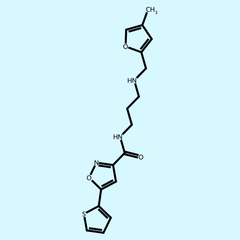 Cc1coc(CNCCCNC(=O)c2cc(-c3cccs3)on2)c1